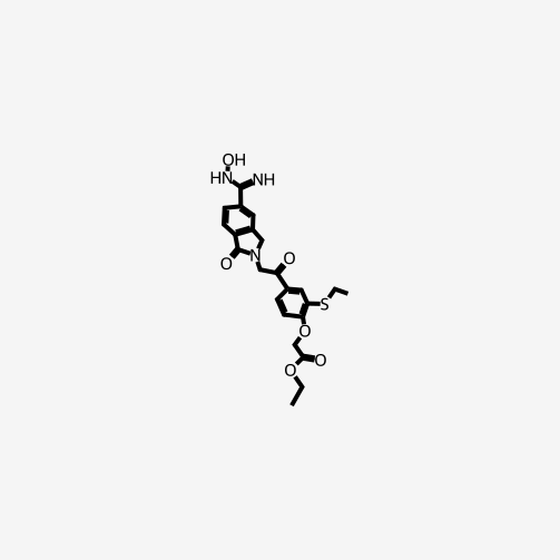 CCOC(=O)COc1ccc(C(=O)CN2Cc3cc(C(=N)NO)ccc3C2=O)cc1SCC